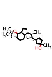 C[C@H](CC1C=CC(C)(O)C1)[C@H]1CCC2C(O[Si](C)(C)C)CCC[C@@]21C